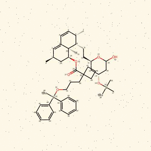 C[C@H]1C=C2C=C[C@H](C)[C@H](CC[C@@H]3C[C@@H](O[Si](C)(C)C(C)(C)C)CC(O)O3)[C@H]2[C@@H](OC(=O)C2(CCCO[Si](c3ccccc3)(c3ccccc3)C(C)(C)C)CCC2)C1